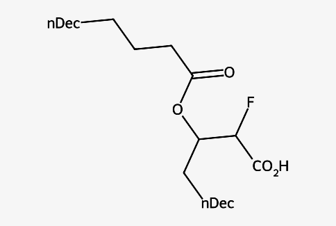 CCCCCCCCCCCCCC(=O)OC(CCCCCCCCCCC)C(F)C(=O)O